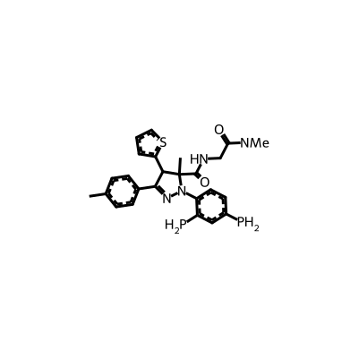 CNC(=O)CNC(=O)C1(C)C(c2cccs2)C(c2ccc(C)cc2)=NN1c1ccc(P)cc1P